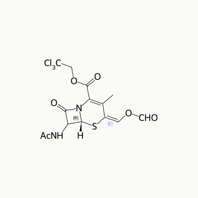 CC(=O)NC1C(=O)N2C(C(=O)OCC(Cl)(Cl)Cl)=C(C)/C(=C\OC=O)S[C@H]12